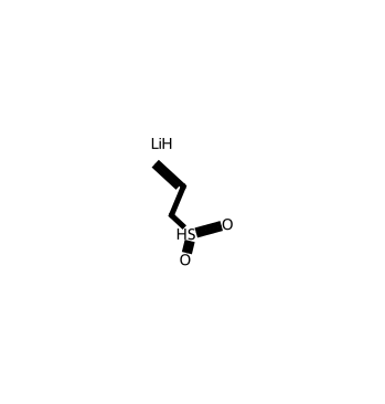 C=CC[SH](=O)=O.[LiH]